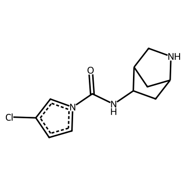 O=C(NC1CC2CC1CN2)n1ccc(Cl)c1